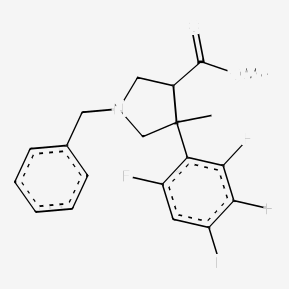 COC(=O)C1CN(Cc2ccccc2)CC1(C)c1c(F)cc(F)c(F)c1F